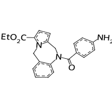 CCOC(=O)c1ccc2n1Cc1ccccc1N(C(=O)c1ccc(N)cc1)C2